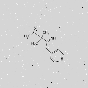 CC(Cl)C(C)(C)C(=N)Cc1ccccc1